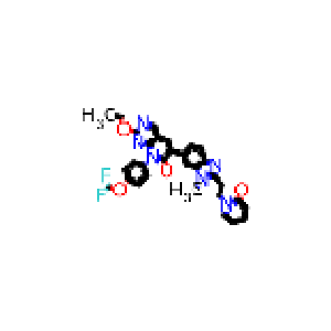 CCOc1ncc2cc(-c3ccc4nc(CCn5ccccc5=O)n(C)c4c3)c(=O)n(-c3ccc(OC(F)F)cc3)c2n1